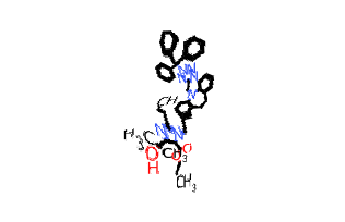 CCCOC(=O)c1c(C(C)(C)O)nc(CCC)n1Cc1ccc2c(c1)CCc1ccccc1N2Cc1nnn(C(c2ccccc2)(c2ccccc2)c2ccccc2)n1